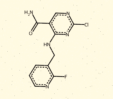 NC(=O)c1cnc(Cl)nc1NCc1cccnc1F